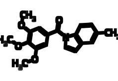 COc1cc(C(=O)n2ccc3cc(C)ccc32)cc(OC)c1OC